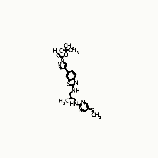 CSc1cnc(NCC(C)CNc2nc3ccc(-c4cnn(C(=O)OC(C)(C)C)c4)cc3s2)nc1